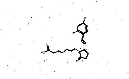 Cc1cc(F)ccc1C=C[C@@H]1CCC(=O)[C@H]1CCCCCCC(=O)O